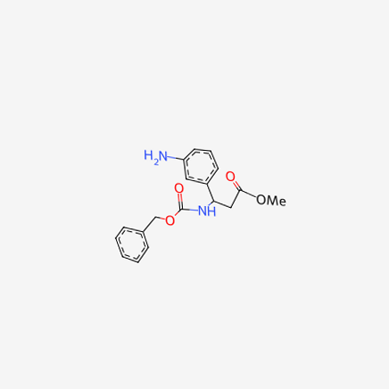 COC(=O)CC(NC(=O)OCc1ccccc1)c1cccc(N)c1